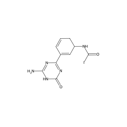 Nc1nc(C2=CC(NC(=O)I)CC=C2)nc(=O)[nH]1